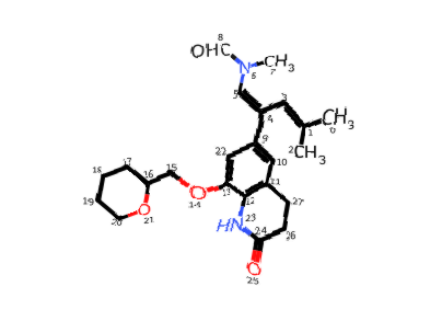 CC(C)=C/C(=C\N(C)C=O)c1cc2c(c(OCC3CCCCO3)c1)NC(=O)CC2